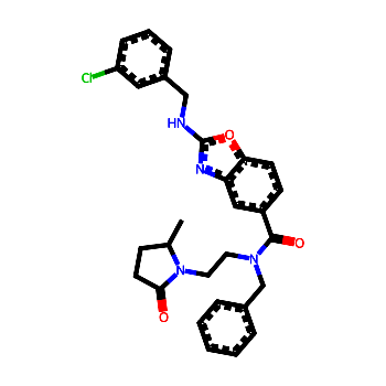 CC1CCC(=O)N1CCN(Cc1ccccc1)C(=O)c1ccc2oc(NCc3cccc(Cl)c3)nc2c1